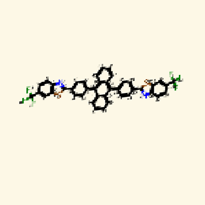 FC(F)(F)c1ccc2nc(-c3ccc(-c4c5ccccc5c(-c5ccc(-c6nc7ccc(C(F)(F)F)cc7s6)cc5)c5ccccc45)cc3)sc2c1